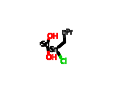 CCC[CH2][Sn][Cl].[OH][Sn][OH]